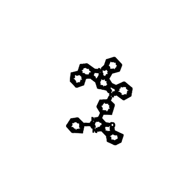 c1ccc(-c2nc(-c3ccc(-n4c5ccccc5c5c6c7ccccc7n7c8ccc9ccccc9c8c(cc54)c67)cc3)c3oc4ccccc4c3n2)cc1